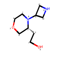 OCC[C@@H]1COCCN1C1CNC1